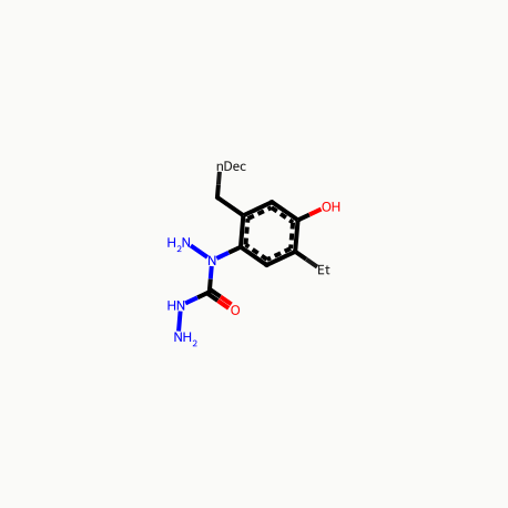 CCCCCCCCCCCc1cc(O)c(CC)cc1N(N)C(=O)NN